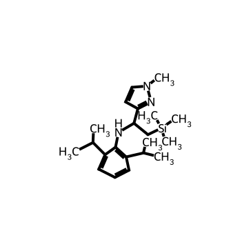 CC(C)c1cccc(C(C)C)c1NC(C[Si](C)(C)C)c1ccn(C)n1